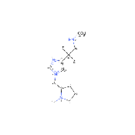 CN1CCCC1Cn1cnc(C(C)(C)CNC(=O)O)c1